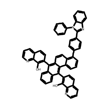 Oc1c(-c2c3ccccc3c(-c3ccc4cccnc4c3O)c3c2ccc2c(-c4ccc(-c5nc6ccccc6n5-c5ccccc5)cc4)cccc23)ccc2cccnc12